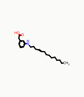 CCCCCCCCCC=CCCCNc1cccc(CC(=O)O)c1